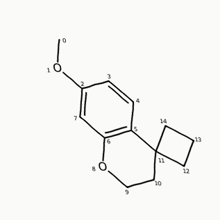 COc1ccc2c(c1)OCCC21CCC1